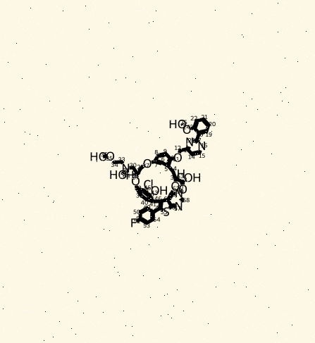 O=C(O)[C@H]1Cc2cc(ccc2OCc2ccnc(-c3ccccc3OO)n2)OC[C@@H](CN(O)CCOO)Oc2ccc(c(O)c2Cl)-c2c(-c3ccc(F)cc3)sc3ncnc(c23)O1